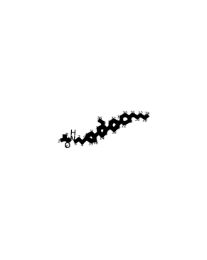 C=C(C)C(=O)NCCCc1ccc(-c2ccc(-c3ccc(C4CCC(CCCCC)CC4)cc3)c(CC)c2)cc1